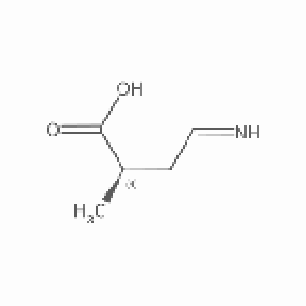 C[C@H](CC=N)C(=O)O